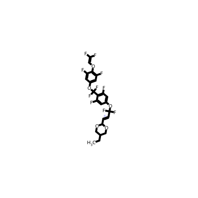 CCC1COC(/C=C/C(F)(F)Oc2cc(F)c(C(F)(F)Oc3cc(F)c(OC=C(F)F)c(F)c3)c(F)c2)OC1